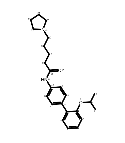 CC(C)Oc1ccccc1-c1ccc(NC(=O)CCCCN2CCCC2)cc1